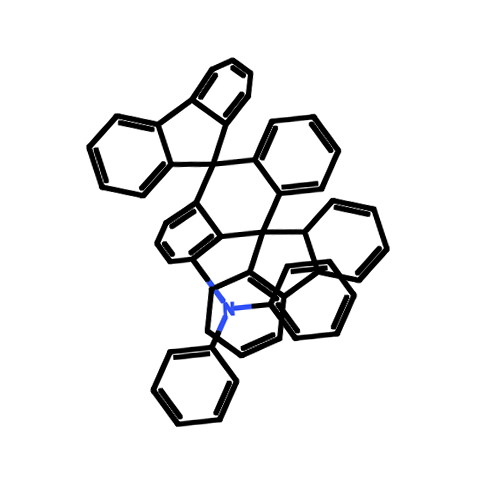 C1=CC2C3=C(CCC=C3)C3(c4ccccc4C4(c5ccccc5-c5ccccc54)c4cccc(N(c5ccccc5)c5ccccc5)c43)C2C=C1